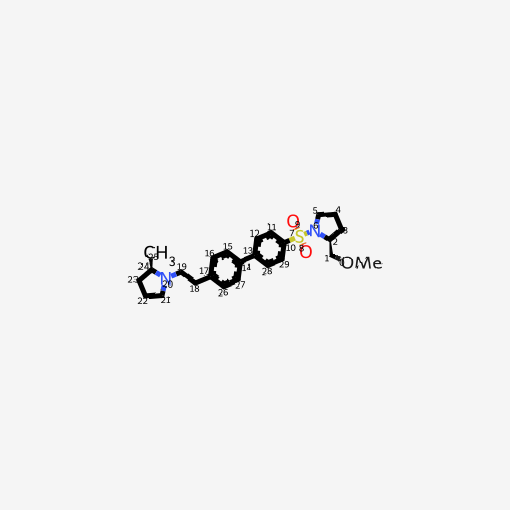 COC[C@@H]1CCCN1S(=O)(=O)c1ccc(-c2ccc(CCN3CCC[C@H]3C)cc2)cc1